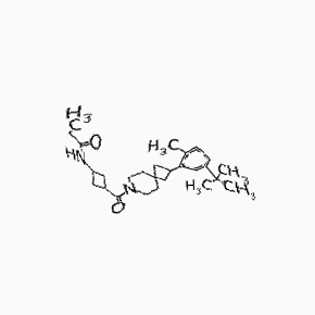 CCC(=O)NC1CC(C(=O)N2CCC3(CC2)CC(c2cc(C(C)(C)C)ccc2C)C3)C1